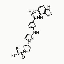 CCN(CC)C(=O)N1CC[C@@H](n2ccc(Nc3ncc(C(=O)Nc4c(C)ccc5[nH]ncc45)s3)n2)C1